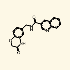 O=C1COc2ccc(CNC(=O)c3cnc4ccccc4c3)cc2N1